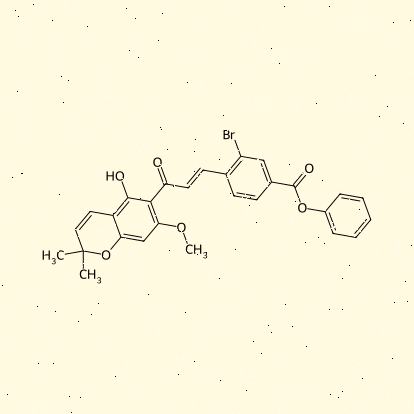 COc1cc2c(c(O)c1C(=O)C=Cc1ccc(C(=O)Oc3ccccc3)cc1Br)C=CC(C)(C)O2